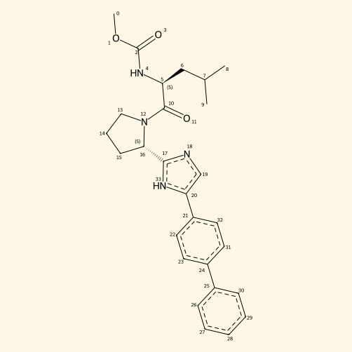 COC(=O)N[C@@H](CC(C)C)C(=O)N1CCC[C@H]1c1ncc(-c2ccc(-c3ccccc3)cc2)[nH]1